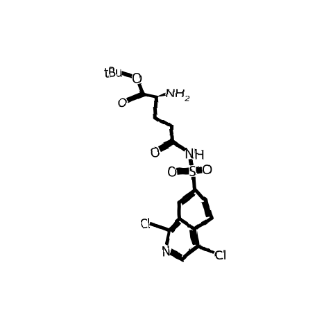 CC(C)(C)OC(=O)[C@@H](N)CCC(=O)NS(=O)(=O)c1ccc2c(Cl)cnc(Cl)c2c1